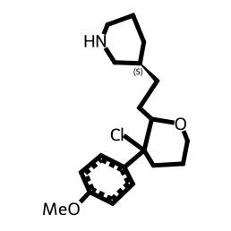 COc1ccc(C2(Cl)CCCOC2CC[C@@H]2CCCNC2)cc1